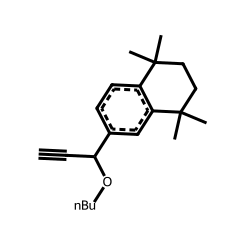 C#CC(OCCCC)c1ccc2c(c1)C(C)(C)CCC2(C)C